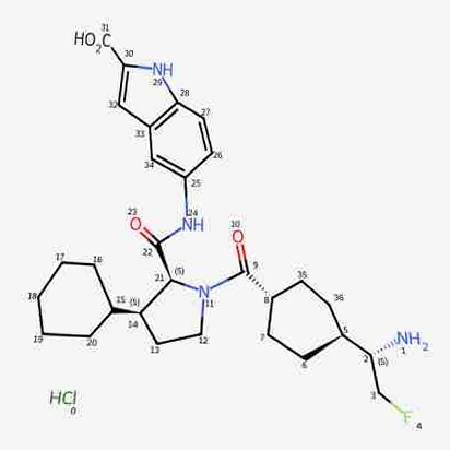 Cl.N[C@H](CF)[C@H]1CC[C@H](C(=O)N2CC[C@@H](C3CCCCC3)[C@H]2C(=O)Nc2ccc3[nH]c(C(=O)O)cc3c2)CC1